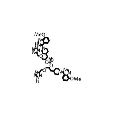 COc1cccc2c(N3CCC(CC(COCc4nn[nH]n4)O[PH](=O)OC(COCc4nn[nH]n4)CC4CCN(c5ncnc6c(OC)cccc56)CC4)CC3)ncnc12